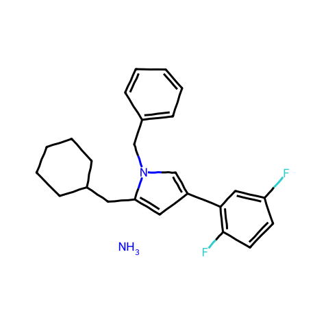 Fc1ccc(F)c(-c2cc(CC3CCCCC3)n(Cc3ccccc3)c2)c1.N